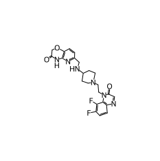 O=C1COc2ccc(CNC3CCN(CCn4c(=O)cnc5ccc(F)c(F)c54)CC3)nc2N1